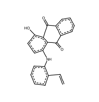 C=Cc1ccccc1Nc1ccc(O)c2c1C(=O)c1ccccc1C2=O